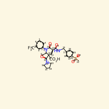 CC1N(c2cccc(C(F)(F)F)c2)C(=O)C(C(=O)NCc2ccc(S(C)(=O)=O)cc2)=CC1(C(=O)O)C(=O)N1CCCC1